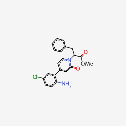 COC(=O)C(Cc1ccccc1)n1ccc(-c2cc(Cl)ccc2N)cc1=O